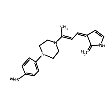 C=c1[nH]cc/c1=C/C=C(\C)N1CCN(c2ccc(SC)cc2)CC1